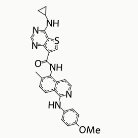 COc1ccc(Nc2nccc3c(NC(=O)c4csc5c(NC6CC6)ncnc45)c(C)ccc23)cc1